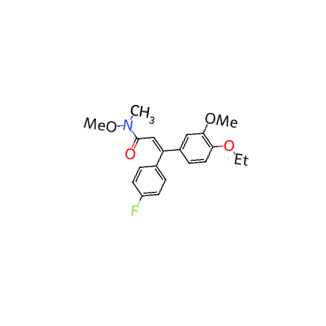 CCOc1ccc(C(=CC(=O)N(C)OC)c2ccc(F)cc2)cc1OC